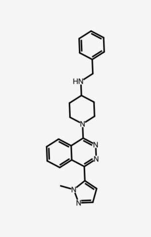 Cn1nccc1-c1nnc(N2CCC(NCc3ccccc3)CC2)c2ccccc12